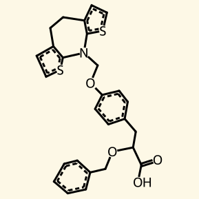 O=C(O)C(Cc1ccc(OCN2c3sccc3CCc3ccsc32)cc1)OCc1ccccc1